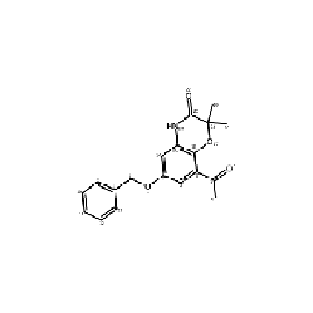 CC(=O)c1cc(OCc2ccccc2)cc2c1OC(C)(C)C(=O)N2